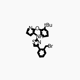 CC(C)(C)c1ccccc1Oc1ncccc1Nc1nc(-c2ccccc2CBr)cs1